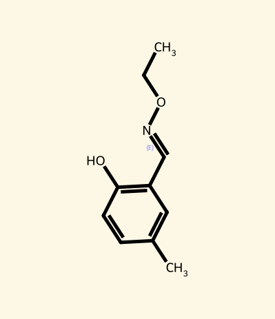 CCO/N=C/c1cc(C)ccc1O